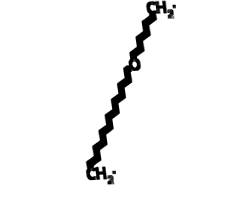 [CH2]CCCCCCCCCCCCCOCCCCCC[CH2]